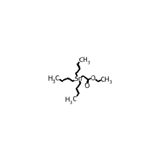 CCC[CH2][Sn]([CH2]CCC)([CH2]CCC)[CH2]C(=O)OCC